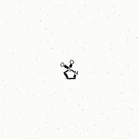 O=S1(=O)C=[C]C=N1